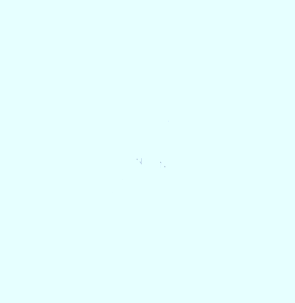 c1ccc2c(c1)oc1c(-c3ccnc(-c4cccc5c4oc4ccccc45)n3)cccc12